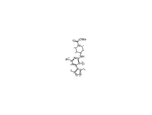 COC(=O)N1CCC(Nc2nc(C(C)C)nc(-c3c(C)noc3C)c2Cl)CC1